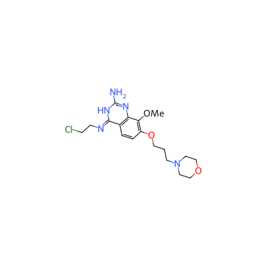 COc1c(OCCCN2CCOCC2)ccc2c(=NCCCl)[nH]c(N)nc12